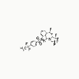 CC(F)(F)c1ccc(S(=O)(=O)n2nc(N3CC(F)(F)C(F)(F)C3)c3c(C(F)F)cccc32)cc1